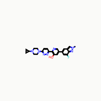 Cn1cc2cc(-c3cnc(-c4ccc(N5CCN(C6CC6)CC5)nn4)c(O)c3)cc(F)c2n1